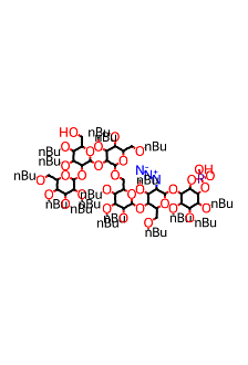 CCCCOCC1OC(OC2C(OCCCC)C(OCCCC)C(OCCCC)C3OP(=O)(O)OC23)C(N=[N+]=[N-])C(OCCCC)C1OC1OC(COC2OC(COCCCC)C(OCCCC)C(OCCCC)C2OC2OC(CO)C(OCCCC)C(OCCCC)C2OC2OC(COCCCC)C(OCCCC)C(OCCCC)C2OCCCC)C(OCCCC)C(OCCCC)C1OCCCC